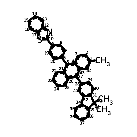 Cc1ccc2c(-c3ccc(-c4nc5ccccc5s4)cc3)c3ccccc3c(-c3ccc4c(c3)-c3ccccc3C4(C)C)c2c1